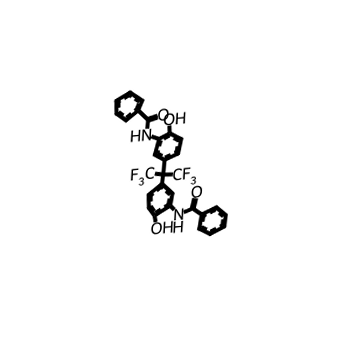 O=C(Nc1cc(C(c2ccc(O)c(NC(=O)c3ccccc3)c2)(C(F)(F)F)C(F)(F)F)ccc1O)c1ccccc1